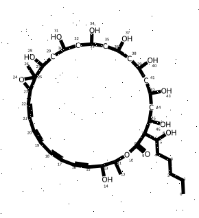 CCCCCC(O)C1C(=O)OC(C)C(O)C=CC=CC=CC=CC2OC2(C)C(O)CC(O)CC(O)CC(O)CC(O)CC(O)CC1O